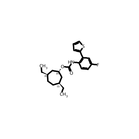 CC[C@@H]1CC[C@H](CC)C[C@@H](OC(=O)Nc2ccc(F)cc2-c2cccs2)C1